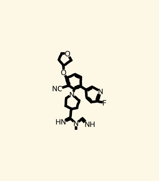 CN(C=N)C(=N)C1CCN(c2c(-c3ccc(F)nc3)ccc(OC3CCOC3)c2C#N)CC1